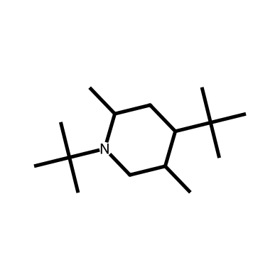 CC1CN(C(C)(C)C)C(C)CC1C(C)(C)C